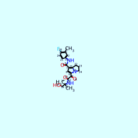 Cc1cc(NC(=O)c2cc(C(=O)C(=O)NC(C)(C)CO)n3c2CCC3)ccc1F